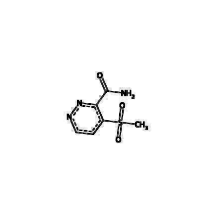 CS(=O)(=O)c1ccnnc1C(N)=O